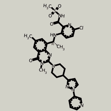 Cc1cc([C@@H](C)Nc2ccc(Cl)nc2C(=O)NS(C)(=O)=O)c2nc(N3CCC(c4ccn(-c5cccnc5)n4)CC3)n(C)c(=O)c2c1